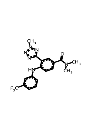 CN(C)C(=O)c1ccc(Nc2cccc(C(F)(F)F)c2)c(-c2nnn(C)n2)c1